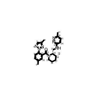 Cc1ccc(-n2ncc(C)n2)c(C(=O)N2CCC[C@@H](C)[C@H]2CNc2ccc(C)nn2)c1